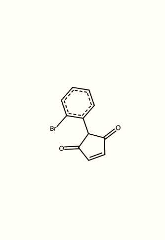 O=C1C=CC(=O)C1c1ccccc1Br